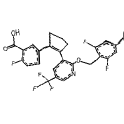 O=C(O)c1cc(C2=C(c3cc(C(F)(F)F)cnc3OCc3c(F)cc(F)cc3F)CCC2)ccc1F